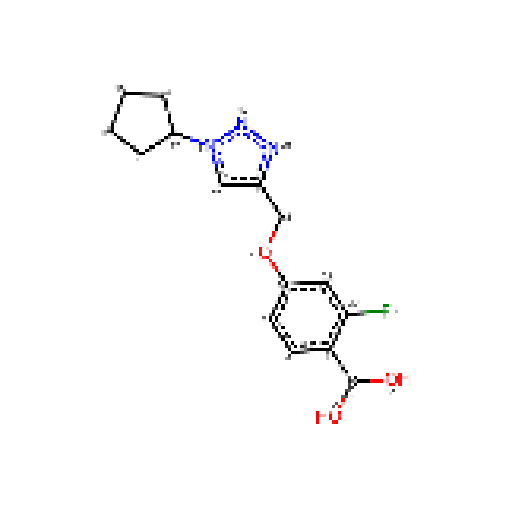 OB(O)c1ccc(OCc2cn(C3CCCC3)nn2)cc1F